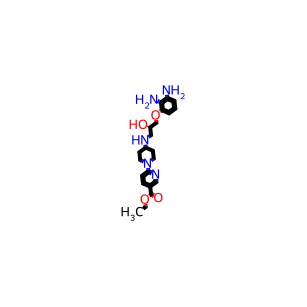 CCOC(=O)c1ccc(N2CCC(NC[C@H](O)COc3cccc(N)c3N)CC2)nc1